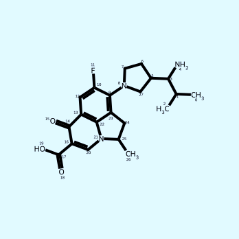 CC(C)C(N)C1CCN(c2c(F)cc3c(=O)c(C(=O)O)cn4c3c2CC4C)C1